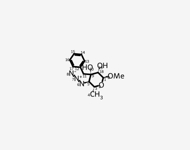 CO[C@H]1O[C@H](C)[C@@H](N=[N+]=[N-])[C@@](O)(Cc2ccccc2)[C@@H]1O